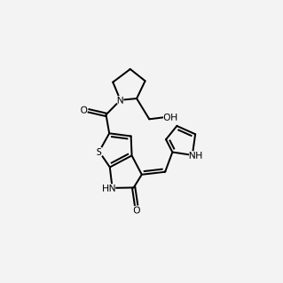 O=C1Nc2sc(C(=O)N3CCCC3CO)cc2/C1=C\c1ccc[nH]1